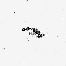 N[C@](CCCCB(O)O)(C(=O)O)C1CC(NCCc2ccc(-c3ccccc3)cc2)C1